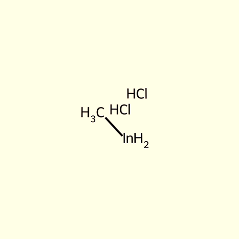 Cl.Cl.[CH3][InH2]